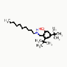 CCCCCCCCCCNCc1c(O)cc(C(C)(C)C)cc1C(C)(C)C